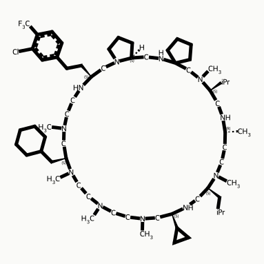 CC(C)C[C@H]1CN[C@@H](C2CC2)CN(C)CCN(C)CCN(C)[C@@H](CC2CCCCC2)CN(C)CCN[C@@H](CCc2ccc(C(F)(F)F)c(Cl)c2)CN2CCC[C@H]2CNC2(CCCC2)CN(C)[C@@H](C(C)C)CN[C@H](C)CCN1C